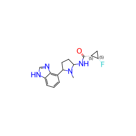 CN1C(NC(=O)[C@@H]2C[C@@H]2F)CCC1c1cccc2[nH]cnc12